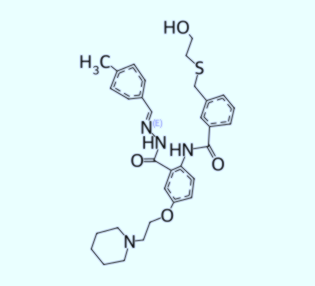 Cc1ccc(/C=N/NC(=O)c2cc(OCCN3CCCCC3)ccc2NC(=O)c2cccc(CSCCO)c2)cc1